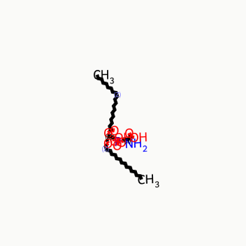 CCCCCCCC/C=C\CCCCCCCCCC(=O)O[C@H](CO/C=C\CCCCCCCCCCCCCC)COP(=O)(O)OC[C@H](N)C(=O)O